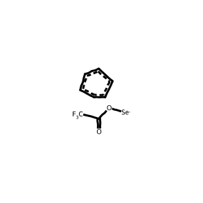 O=C(O[Se])C(F)(F)F.c1ccccc1